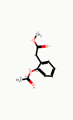 COC(=O)Cc1ccccc1OC(C)=O